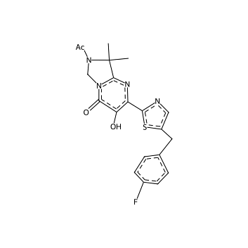 CC(=O)N1Cn2c(nc(-c3ncc(Cc4ccc(F)cc4)s3)c(O)c2=O)C1(C)C